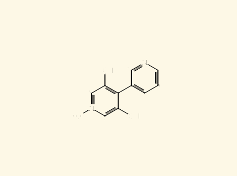 Cc1c[n+]([O-])cc(C)c1-c1cccnc1